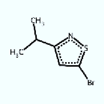 CC(C)c1cc(Br)sn1